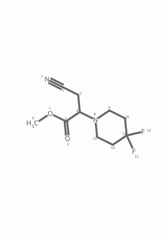 COC(=O)C(CC#N)N1CCC(F)(F)CC1